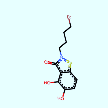 O=c1c2c(O)c(O)ccc2sn1CCCCBr